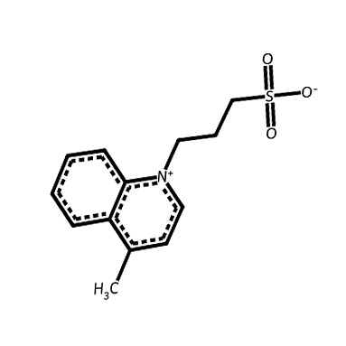 Cc1cc[n+](CCCS(=O)(=O)[O-])c2ccccc12